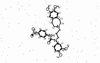 COc1ccc(N(CCCN2CCc3cc(OC)c(OC)cc3CC2)C(=O)Nc2ccc([N+](=O)[O-])cc2)cc1OC